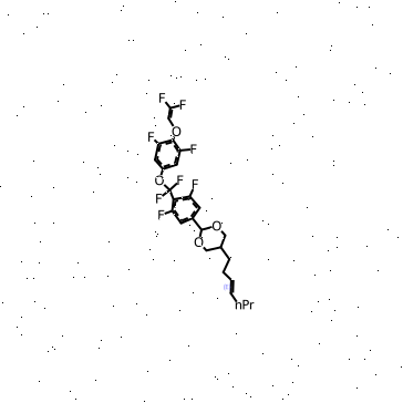 CCC/C=C/CCC1COC(c2cc(F)c(C(F)(F)Oc3cc(F)c(OC=C(F)F)c(F)c3)c(F)c2)OC1